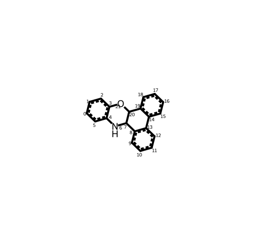 c1ccc2c(c1)NC1c3ccccc3-c3ccccc3C1O2